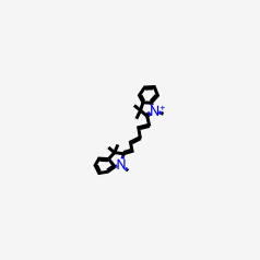 CN1/C(=C/C=C/C=C/C2=[N+](C)c3ccccc3C2(C)C)C(C)(C)c2ccccc21